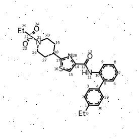 CCc1ccc(-c2ccccc2NC(=O)c2csc(C3CCN(S(=O)(=O)CC)CC3)n2)cc1